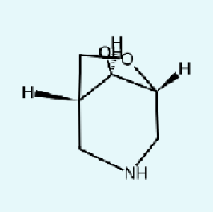 O[C@@H]1[C@@H]2CNC[C@H]1OC2